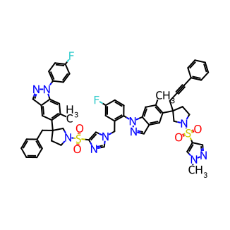 Cc1cc2c(cnn2-c2ccc(F)cc2Cn2cnc(S(=O)(=O)N3CCC(Cc4ccccc4)(c4cc5cnn(-c6ccc(F)cc6)c5cc4C)C3)c2)cc1C1(CC#Cc2ccccc2)CCN(S(=O)(=O)c2cnn(C)c2)C1